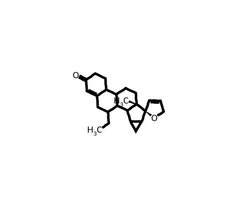 CCC1CC2=CC(=O)CCC2C2CC[C@@]3(C)C(C4CC4[C@@]34C=CCO4)C12